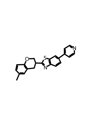 Cc1ccc2c(c1)CC(c1nc3ccc(-c4ccncc4)cc3s1)CO2